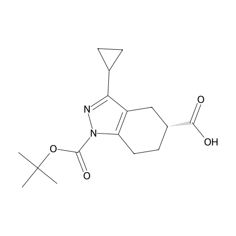 CC(C)(C)OC(=O)n1nc(C2CC2)c2c1CC[C@@H](C(=O)O)C2